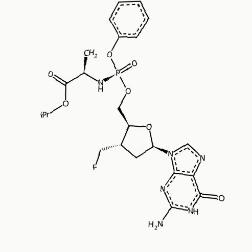 CC(C)OC(=O)[C@@H](C)N[P@@](=O)(OC[C@H]1O[C@@H](n2cnc3c(=O)[nH]c(N)nc32)C[C@@H]1CF)Oc1ccccc1